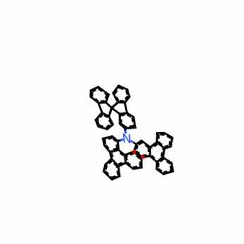 c1ccc2c(c1)-c1ccccc1C21c2ccccc2-c2ccc(N(c3ccc4c5ccccc5c5ccccc5c4c3)c3cccc4c5ccccc5c5ccccc5c34)cc21